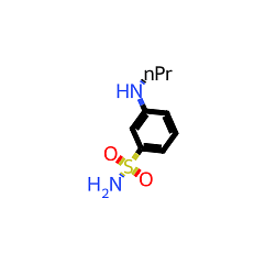 CCCNc1cccc(S(N)(=O)=O)c1